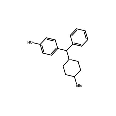 CCCCC1CCN(C(c2ccccc2)c2ccc(O)cc2)CC1